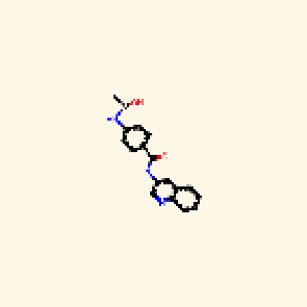 CB(O)Nc1ccc(C(=O)Nc2cnc3ccccc3c2)cc1